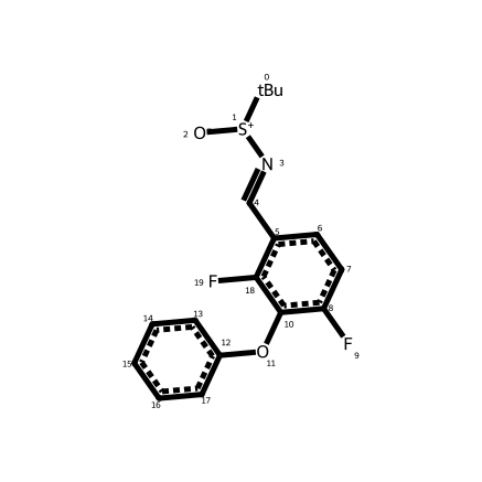 CC(C)(C)[S+]([O-])N=Cc1ccc(F)c(Oc2ccccc2)c1F